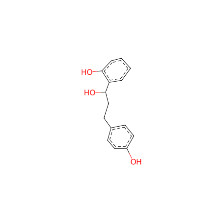 Oc1ccc(CCC(O)c2ccccc2O)cc1